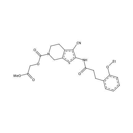 CCOc1ccccc1CCC(=O)Nc1sc2c(c1C#N)CCN(C(=O)OCC(=O)OC)C2